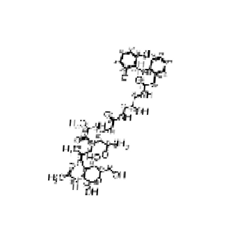 CC(=O)N[C@@H]1[C@@H](OC(C)CN(C(=O)[C@H](C)N)[C@H](CCC(=O)NCC(O)CNC(=O)Cc2ccccc2Nc2c(Cl)cccc2Cl)C(N)=O)[C@H](O)[C@@H](CO)O[C@@H]1O